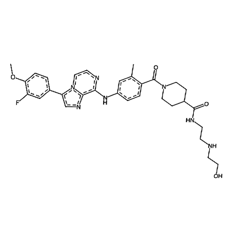 COc1ccc(-c2cnc3c(Nc4ccc(C(=O)N5CCC(C(=O)NCCNCCO)CC5)c(C)c4)nccn23)cc1F